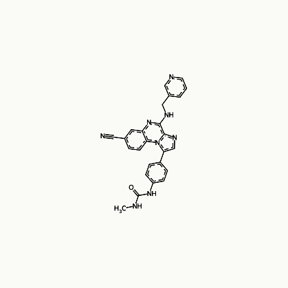 CNC(=O)Nc1ccc(-c2cnc3c(NCc4cccnc4)nc4cc(C#N)ccc4n23)cc1